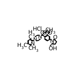 Cc1cc(C)c(N2CCN(C(=O)c3ccc(N4C(=O)CC[C@H]4CO)cc3S(C)(=O)=O)CC2)nc1C.Cl